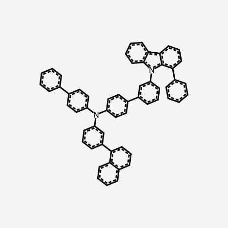 c1ccc(-c2ccc(N(c3ccc(-c4cccc(-n5c6ccccc6c6cccc(-c7ccccc7)c65)c4)cc3)c3cccc(-c4cccc5ccccc45)c3)cc2)cc1